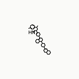 CC1=CC=C(C(C)CC(C=N)C2=CCC(C3=C4CCCCC4C(C4CCC(C5=CC6CCCCC6CC5)CC4)CC3)CC2)C=CC1